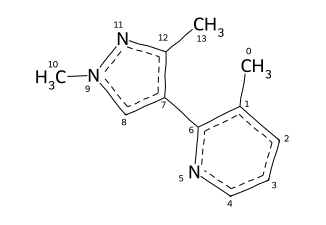 Cc1cccnc1-c1cn(C)nc1C